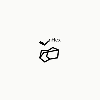 C1C2CC3CC1CC(C2)C3.C=CCCCCCC